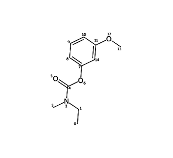 CCN(C)C(=O)Oc1cccc(OC)c1